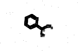 CC(C)[C@@H](C)c1ccccn1